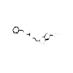 C\C=C(OC(CCOC(=O)OCc1ccccc1)C(=O)O)/C(=C\C(Cl)=N\O)[N+](=O)[O-]